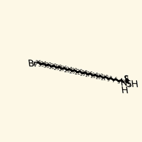 S=C(S)NCCCCCCCCCCCCCCCCCCCCCCCCCCCCCCCCCBr